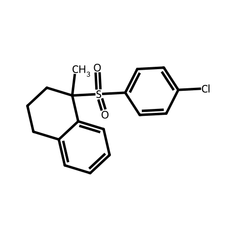 CC1(S(=O)(=O)c2ccc(Cl)cc2)CCCc2ccccc21